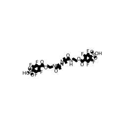 CC(C)(N=NC(C)(C)C(=O)NCCOC(=O)c1c(F)c(F)c(S(=O)(=O)O)c(F)c1F)C(=O)NCCOC(=O)c1c(F)c(F)c(S(=O)(=O)O)c(F)c1F